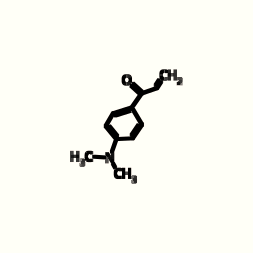 C=CC(=O)c1ccc(N(C)C)cc1